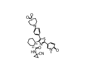 Cn1cc(-c2nc([C@@H]3CCCC[C@H]3C(=O)NC3(C#N)CC3)c(-c3ccc(N4CCS(=O)(=O)CC4)cc3)s2)ccc1=O